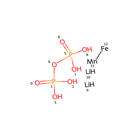 O=P(O)(O)OP(=O)(O)O.[LiH].[LiH].[Mn][Fe]